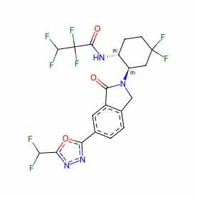 O=C1c2cc(-c3nnc(C(F)F)o3)ccc2CN1[C@@H]1CC(F)(F)CC[C@H]1NC(=O)C(F)(F)C(F)F